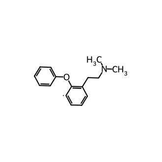 CN(C)CCc1ccc[c]c1Oc1ccccc1